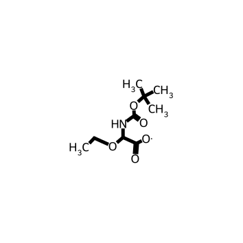 CCOC(NC(=O)OC(C)(C)C)C([O])=O